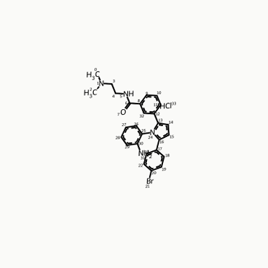 CN(C)CCNC(=O)c1cccc(-c2ccc(-c3ccc(Br)cc3)n2-c2ccccc2N)c1.Cl